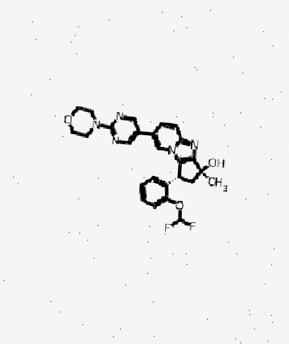 C[C@@]1(O)C[C@H](c2ccccc2OC(F)F)c2c1nc1ccc(-c3cnc(N4CCOCC4)nc3)cn21